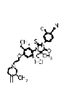 CCc1cc(N2C(=S)N(c3ccc(C#N)c(Cl)c3)C(=O)C2(C)C)ccc1OCCN1CCN[C@H](C)C1.Cl